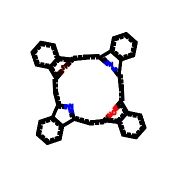 c1ccc2c(c1)-c1cc3oc(cc4nc(cc5sc(cc-2n1)c1ccccc51)-c1ccccc1-4)c1ccccc31